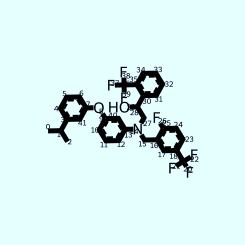 CC(C)c1cccc(Oc2cccc(N(Cc3cc(C(F)(F)F)ccc3F)CC(O)c3ccccc3C(F)(F)F)c2)c1